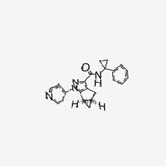 O=C(NC1(c2ccccc2)CC1)c1nn(-c2ccncc2)c2c1C[C@H]1C[C@@H]21